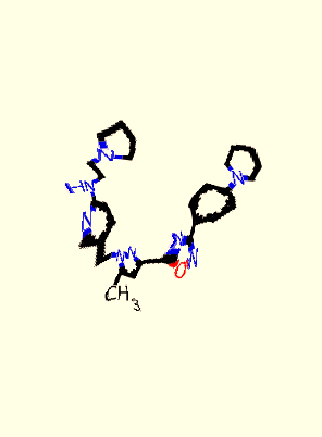 Cc1cc(-c2nc(-c3ccc(N4CCCCC4)cc3)no2)nn1Cc1ccc(NCCN2CCCC2)nc1